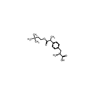 CC(C(=O)OCC[Si](C)(C)C)c1ccc(C[C@H](N)C(=O)O)cc1